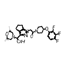 C[C@@H]1CN(C(O)c2nn(CC(=O)N3CCC(Oc4ccc(F)c(F)c4F)CC3)c3c2CCC3)C[C@H](C)O1